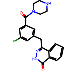 O=C(c1cc(F)cc(Cc2n[nH]c(=O)c3ccccc23)c1)N1CCNCC1